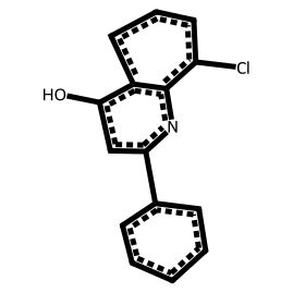 Oc1cc(-c2ccccc2)nc2c(Cl)cccc12